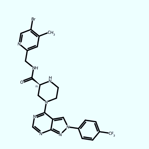 Cc1cc(CNC(=O)[C@@H]2CN(c3ncnc4nn(-c5ccc(C(F)(F)F)cc5)cc34)CCN2)ncc1Br